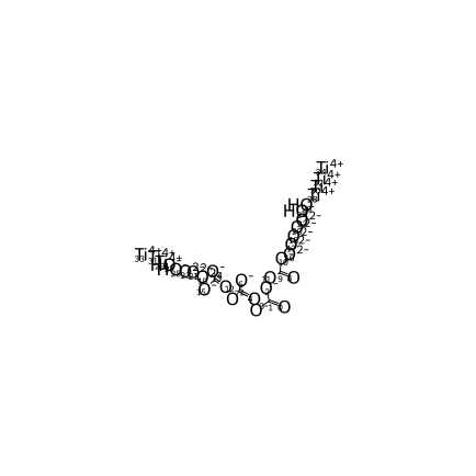 O=C([O-])[O-].O=C([O-])[O-].O=C([O-])[O-].O=C([O-])[O-].[O-2].[O-2].[O-2].[O-2].[O-2].[O-2].[O-2].[O-2].[OH-].[OH-].[OH-].[OH-].[Ti+4].[Ti+4].[Ti+4].[Ti+4].[Ti+4].[Ti+4].[Ti+4]